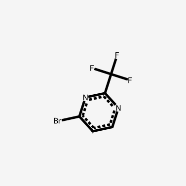 FC(F)(F)c1nc[c]c(Br)n1